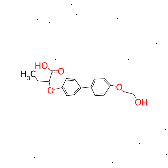 CCC(Oc1ccc(-c2ccc(OCCO)cc2)cc1)C(=O)O